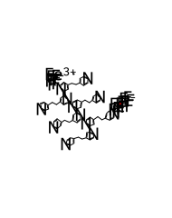 F[P-](F)(F)(F)(F)F.F[P-](F)(F)(F)(F)F.F[P-](F)(F)(F)(F)F.[Fe+3].c1cc(CCc2ccnc(-c3cc(CCc4ccncc4)ccn3)c2)ccn1.c1cc(CCc2ccnc(-c3cc(CCc4ccncc4)ccn3)c2)ccn1.c1cc(CCc2ccnc(-c3cc(CCc4ccncc4)ccn3)c2)ccn1